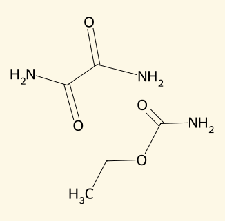 CCOC(N)=O.NC(=O)C(N)=O